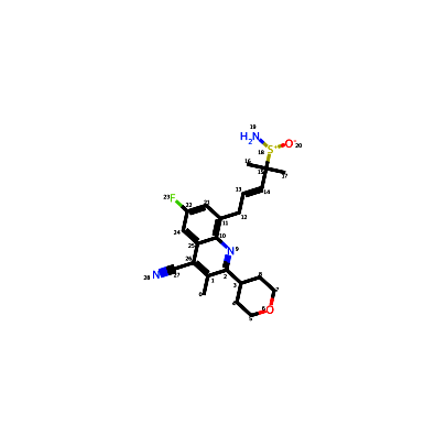 Cc1c(C2CCOCC2)nc2c(CC=CC(C)(C)[S+](N)[O-])cc(F)cc2c1C#N